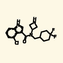 O=C(c1c[nH]c2cccc(Cl)c12)N(CC1CCC(F)(F)CC1)C1CNC1